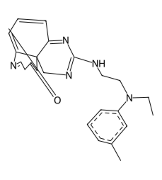 CCN(CCNC1=NCC23CC(=O)CC=NC2=CC=CC3=N1)c1cccc(C)c1